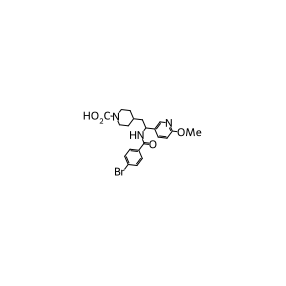 COc1ccc(C(CC2CCN(C(=O)O)CC2)NC(=O)c2ccc(Br)cc2)cn1